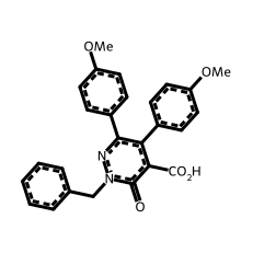 COc1ccc(-c2nn(Cc3ccccc3)c(=O)c(C(=O)O)c2-c2ccc(OC)cc2)cc1